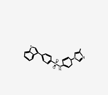 Cc1cn(C2C=CC(NS(=O)(=O)c3ccc(-c4csc5ccccc45)cc3)=CC2)cn1